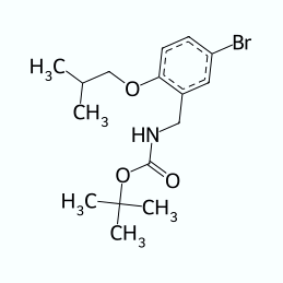 CC(C)COc1ccc(Br)cc1CNC(=O)OC(C)(C)C